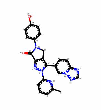 Cc1cccc(-n2nc3c(c2-c2ccc4ncnn4c2)CN(c2ccc(O)cc2)C3=O)n1